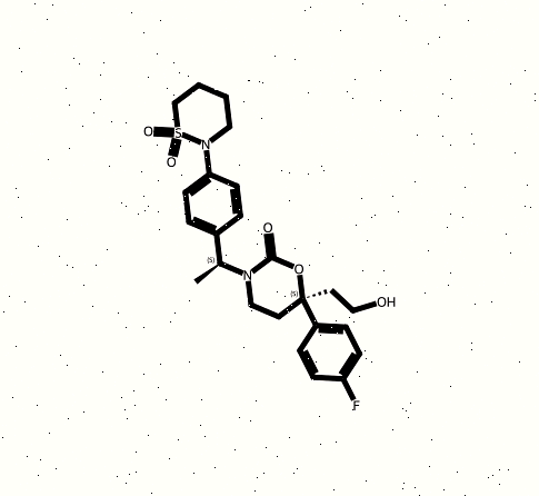 C[C@@H](c1ccc(N2CCCCS2(=O)=O)cc1)N1CC[C@](CCO)(c2ccc(F)cc2)OC1=O